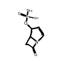 O=C1CC2C(OP(=O)(O)O)C=CN12